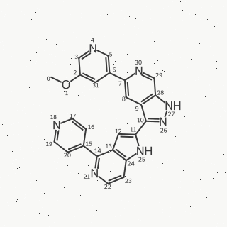 COc1cncc(-c2cc3c(-c4cc5c(-c6ccncc6)nccc5[nH]4)n[nH]c3cn2)c1